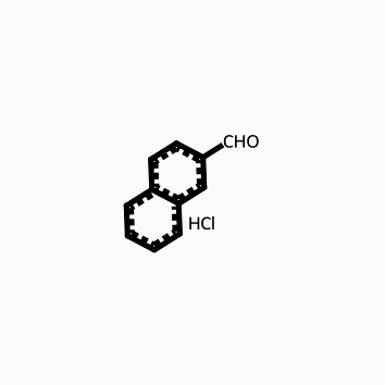 Cl.O=Cc1ccc2ccccc2c1